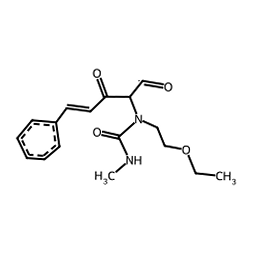 CCOCCN(C(=O)NC)C([C]=O)C(=O)C=Cc1ccccc1